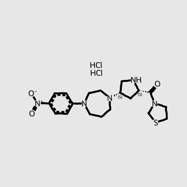 Cl.Cl.O=C([C@@H]1C[C@H](N2CCCN(c3ccc([N+](=O)[O-])cc3)CC2)CN1)N1CCSC1